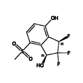 CS(=O)(=O)c1ccc(O)c2c1[C@H](O)C(F)(F)[C@@H]2F